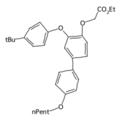 CCCCCOc1ccc(-c2ccc(OCC(=O)OCC)c(Oc3ccc(C(C)(C)C)cc3)c2)cc1